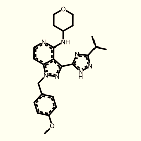 COc1ccc(Cn2nc(-c3nc(C(C)C)n[nH]3)c3c(NC4CCOCC4)nccc32)cc1